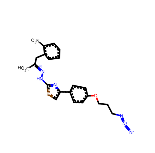 [N-]=[N+]=NCCCOc1ccc(-c2csc(N/N=C(/Cc3ccccc3[N+](=O)[O-])C(=O)O)n2)cc1